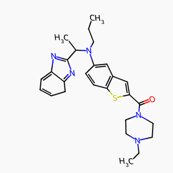 CCCN(c1ccc2sc(C(=O)N3CCN(CC)CC3)cc2c1)C(C)C1=NC2=CC=CCC2=N1